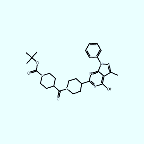 Cc1nn(-c2ccccc2)c2nc(C3CCN(C(=O)C4CCN(C(=O)OC(C)(C)C)CC4)CC3)nc(O)c12